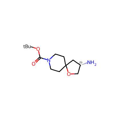 CC(C)(C)OC(=O)N1CCC2(CC1)C[C@H](N)CO2